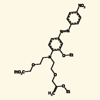 C=C(COCCN(CCOCC(=O)OCC)c1ccc(/N=N/c2ccc([N+](=O)[O-])cc2)cc1OCC)OCC